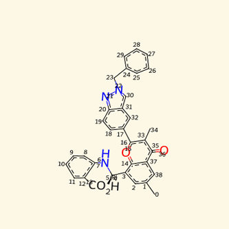 Cc1cc([C@@H](C)Nc2ccccc2C(=O)O)c2oc(-c3ccc4nn(Cc5ccccc5)cc4c3)c(C)c(=O)c2c1